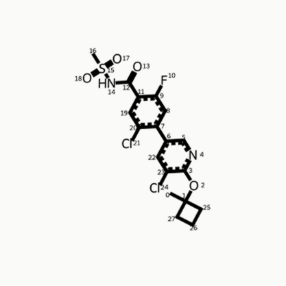 CC1(Oc2ncc(-c3cc(F)c(C(=O)NS(C)(=O)=O)cc3Cl)cc2Cl)CCC1